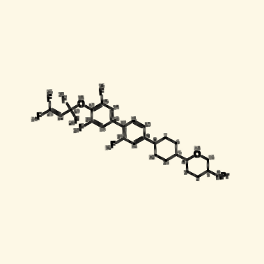 CCCC1CCC(C2CCC(c3ccc(-c4cc(F)c(OC(F)(F)C=C(F)F)c(F)c4)c(F)c3)CC2)OC1